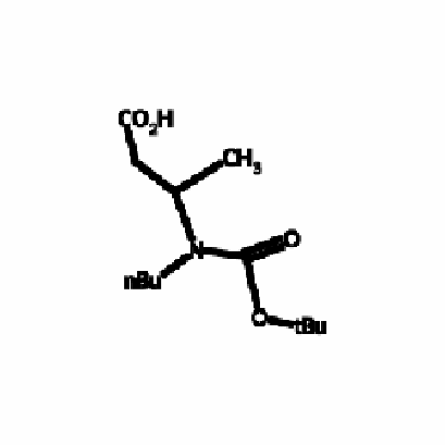 CCCCN(C(=O)OC(C)(C)C)C(C)CC(=O)O